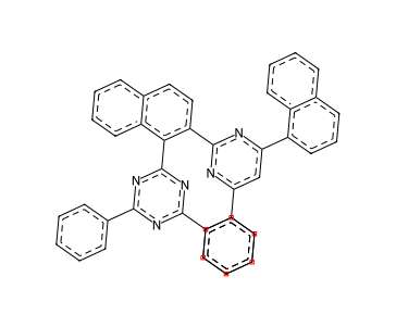 c1ccc(-c2cc(-c3cccc4ccccc34)nc(-c3ccc4ccccc4c3-c3nc(-c4ccccc4)nc(-c4ccccc4)n3)n2)cc1